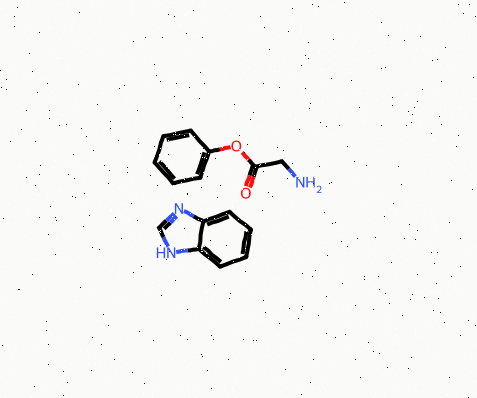 NCC(=O)Oc1ccccc1.c1ccc2[nH]cnc2c1